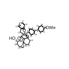 COc1ccc(-c2ccc(S(=O)(=O)N(Cc3ccccc3)C(C(=O)O)C3CCCCC34OCCCO4)cc2)cc1